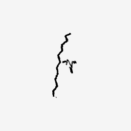 CN(C)C.[CH2]CCCCCCCCCCCC